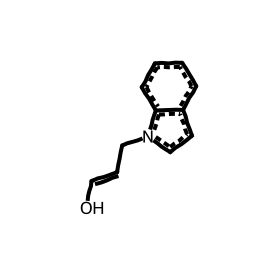 OC=CCn1ccc2ccccc21